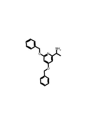 CC(N)c1cc(OCc2ccccc2)cc(OCc2ccccc2)n1